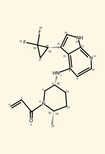 C=CC(=O)N1C[C@H](Nc2ccnc3[nH]cc([C@@H]4CC4(F)F)c23)CC[C@@H]1C